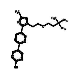 C[Si](C)(C)CCOCCn1cc(C(F)(F)F)nc1-c1ccc(-c2ccc(O)nc2)nc1